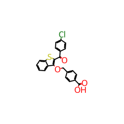 O=C(O)c1ccc(COc2c(C(=O)c3ccc(Cl)cc3)sc3ccccc23)cc1